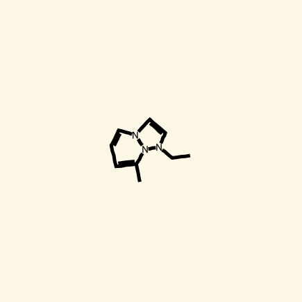 CCN1C=CN2C=CC=C(C)N21